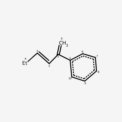 C=C(C=CCC)c1ccccc1